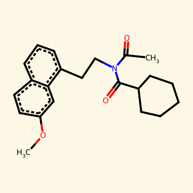 COc1ccc2cccc(CCN(C(C)=O)C(=O)C3CCCCC3)c2c1